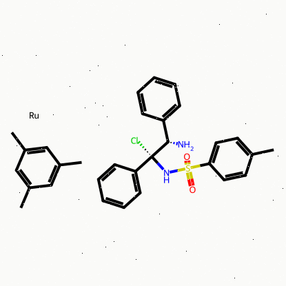 Cc1cc(C)cc(C)c1.Cc1ccc(S(=O)(=O)N[C@@](Cl)(c2ccccc2)[C@@H](N)c2ccccc2)cc1.[Ru]